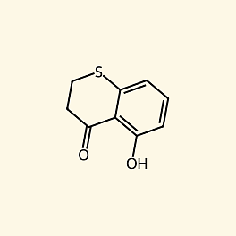 O=C1CCSc2cccc(O)c21